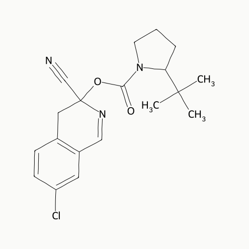 CC(C)(C)C1CCCN1C(=O)OC1(C#N)Cc2ccc(Cl)cc2C=N1